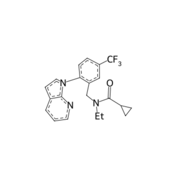 CCN(Cc1cc(C(F)(F)F)ccc1-n1ccc2cccnc21)C(=O)C1CC1